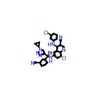 BC(Nc1cc(Cl)c2ncc(C#N)c(Nc3cccc(Cl)c3)c2c1)(c1cccc(C#N)c1)c1cn(C2CC2)nn1